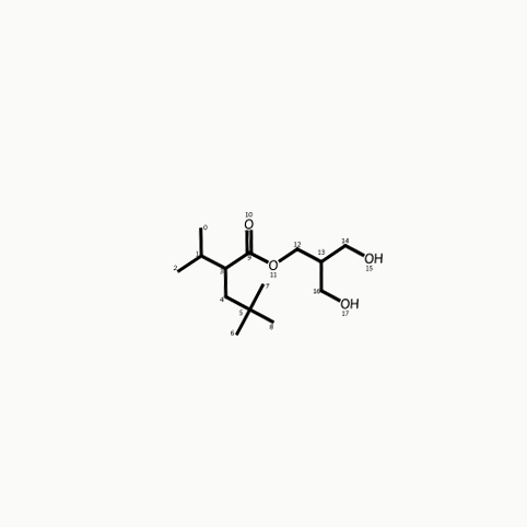 CC(C)C(CC(C)(C)C)C(=O)OCC(CO)CO